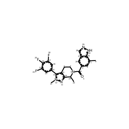 Cc1cc(C(=O)N2CCc3c(nn(C)c3-c3cc(F)c(F)c(F)c3)C2C)cc2cn[nH]c12